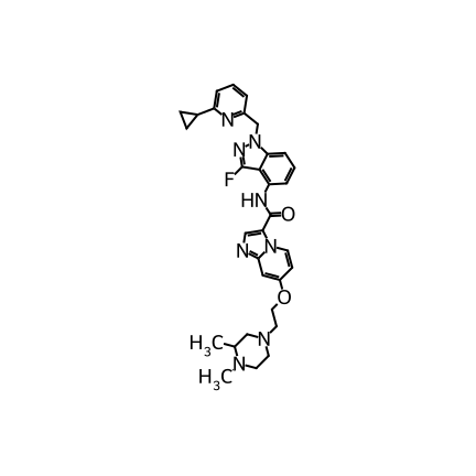 CC1CN(CCOc2ccn3c(C(=O)Nc4cccc5c4c(F)nn5Cc4cccc(C5CC5)n4)cnc3c2)CCN1C